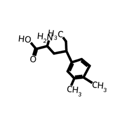 CCC(CC(N)C(=O)O)c1ccc(C)c(C)c1